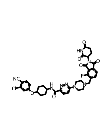 N#Cc1ccc(OC2CCC(NC(=O)c3ccc(N4CCN(Cc5ccc6c(c5F)C(=O)N(C5CCC(=O)NC5=O)C6=O)CC4)nn3)CC2)cc1Cl